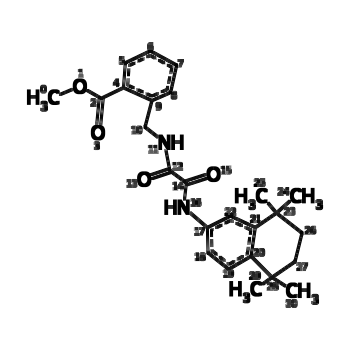 COC(=O)c1ccccc1CNC(=O)C(=O)Nc1ccc2c(c1)C(C)(C)CCC2(C)C